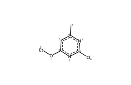 CCOc1cc(C)nc(Cl)n1